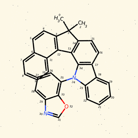 CC1(C)c2ccc3ccccc3c2-c2c1ccc1c3ccccc3n(-c3cccc4ncoc34)c21